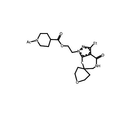 CCc1nn(CCOC(=O)C2CCN(C(C)=O)CC2)c2c1C(=O)NCC1(CCOCC1)C2